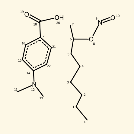 CCCCCCC(C)ON=O.CN(C)c1ccc(C(=O)O)cc1